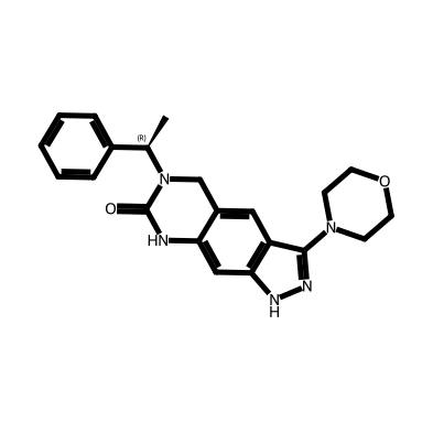 C[C@H](c1ccccc1)N1Cc2cc3c(N4CCOCC4)n[nH]c3cc2NC1=O